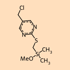 CO[Si](C)(C)CSc1ncc(CCl)cn1